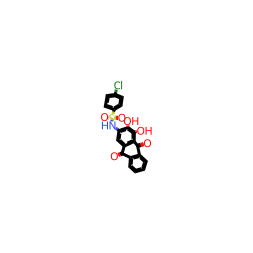 O=C1c2ccccc2C(=O)c2c1cc(NS(=O)(=O)c1ccc(Cl)cc1)c(O)c2O